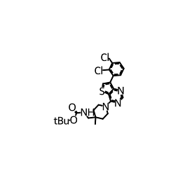 CC1(CNC(=O)OC(C)(C)C)CCN(c2ncnc3c(-c4cccc(Cl)c4Cl)csc23)CC1